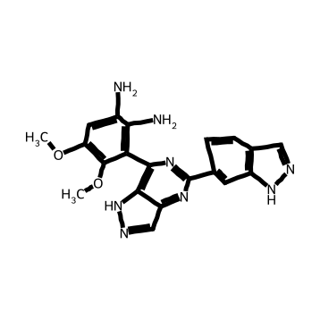 COc1cc(N)c(N)c(-c2nc(-c3ccc4cn[nH]c4c3)nc3cn[nH]c23)c1OC